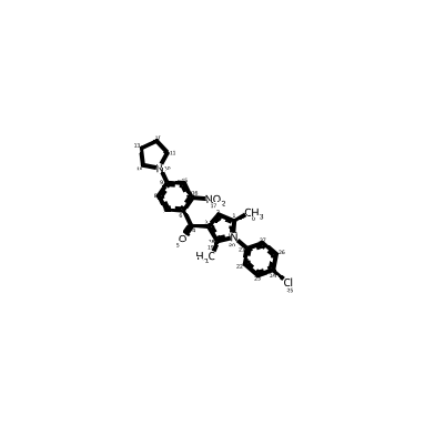 Cc1cc(C(=O)c2ccc(N3CCCC3)cc2[N+](=O)[O-])c(C)n1-c1ccc(Cl)cc1